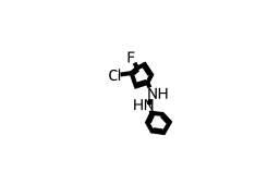 Fc1ccc(NNc2ccccc2)cc1Cl